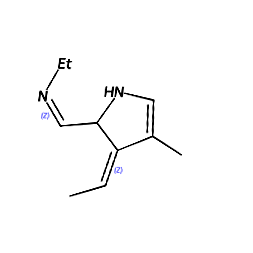 C/C=C1/C(C)=CNC1/C=N\CC